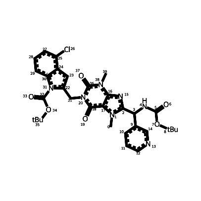 Cn1c(C(NC(=O)OC(C)(C)C)c2cccnc2)nc2c1c(=O)n(Cc1cc3c(Cl)cccc3n1C(=O)OC(C)(C)C)c(=O)n2C